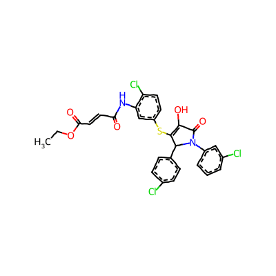 CCOC(=O)/C=C/C(=O)Nc1cc(SC2=C(O)C(=O)N(c3cccc(Cl)c3)C2c2ccc(Cl)cc2)ccc1Cl